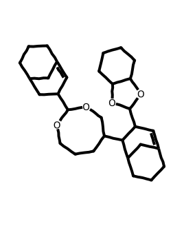 C1=C2CCCC(C2)CC1C1OCCCC(C2C3CCCC(=CC2C2OC4CCCCC4O2)C3)CO1